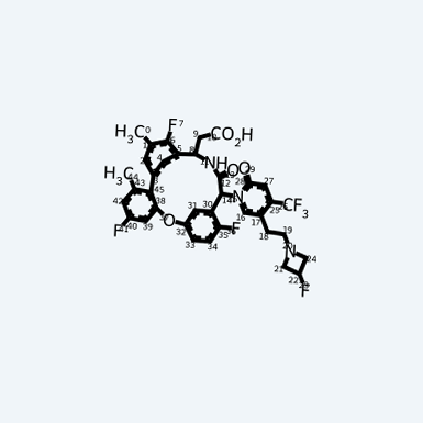 Cc1cc2cc(c1F)C(CC(=O)O)NC(=O)C(n1cc(CCN3CC(F)C3)c(C(F)(F)F)cc1=O)c1cc(ccc1F)Oc1cc(F)cc(C)c1-2